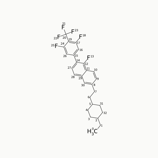 CCC1CCC(CCc2ccc3c(F)c(-c4cc(F)c(C(F)(F)F)c(F)c4)ccc3c2)CC1